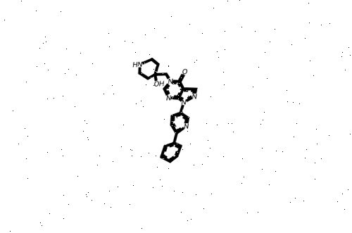 O=c1c2cnn(-c3ccc(-c4ccccc4)nc3)c2ncn1CC1(O)CCNCC1